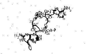 CO[PH]1(O)OCC2OC(n3cnc4c(N)ncnc43)C(O)C2OP(=O)(O)OCC2CC(O1)C(n1cnc3c(=O)[nH]c(N)nc31)O2